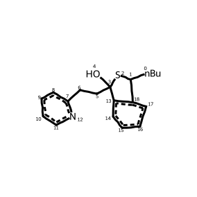 CCCCC1SC(O)(CCc2ccccn2)c2ccccc21